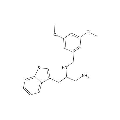 COc1cc(CNC(CN)Cc2csc3ccccc23)cc(OC)c1